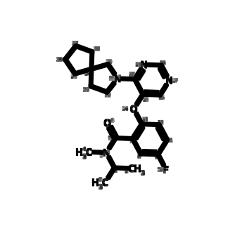 CC(C)N(C)C(=O)c1cc(F)ccc1Oc1cncnc1N1CCC2(CCCC2)C1